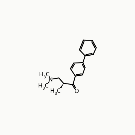 C[C@@H](CN(C)C)C(=O)c1ccc(-c2ccccc2)cc1